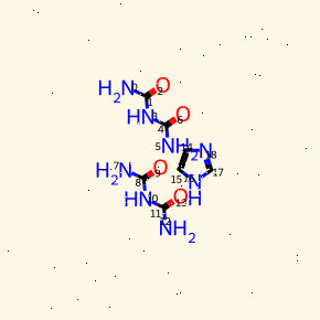 NC(=O)NC(N)=O.NC(=O)NC(N)=O.c1c[nH]cn1